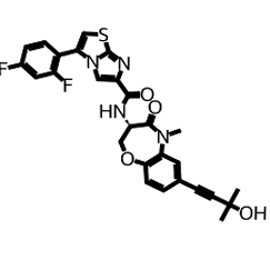 CN1C(=O)[C@@H](NC(=O)c2cn3c(-c4ccc(F)cc4F)csc3n2)COc2ccc(C#CC(C)(C)O)cc21